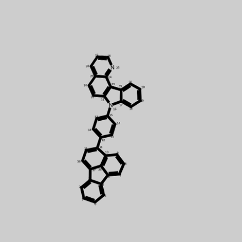 c1ccc2c(c1)-c1cccc3c(-c4ccc(-n5c6ccccc6c6c7ncccc7ccc65)cc4)ccc-2c13